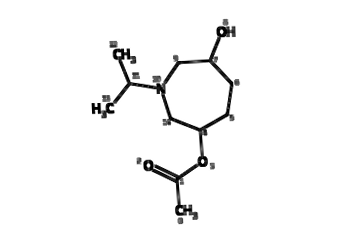 CC(=O)OC1CCC(O)CN(C(C)C)C1